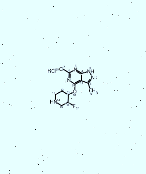 Cc1n[nH]c2nc(Cl)nc(O[C@@H]3CCNC[C@@H]3F)c12.Cl